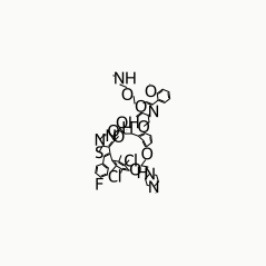 C=C(OCCOCCNC)/C(COc1ccc2cc1C[C@H](C(=O)O)Oc1ncnc3sc(-c4ccc(F)cc4)c(c13)-c1c(C)c(Cl)c(c(Cl)c1C)O[C@H](CN1CCN(C)CC1)CO2)=N\C(=C/C)c1ccccc1OC